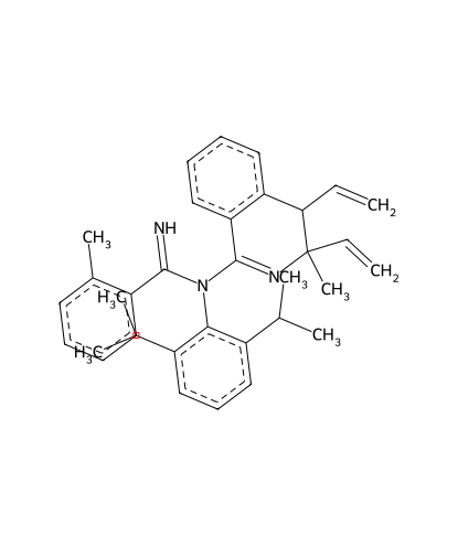 C=CC1c2ccccc2C(N(C(=N)c2ccccc2C)c2c(C(C)C)cccc2C(C)C)=NC1(C)C=C